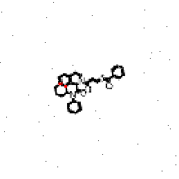 O=C(SCCC(=O)N1CCc2ccccc2C1C(=O)N(C1CCCCC1)C1CCCCC1)c1ccccc1